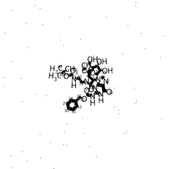 COC(=O)C1C([N+]2([C@@H]3O[C@H](CO)[C@@H](O)[C@H]3O)C=Nc3c2nc(NC(=O)OCc2ccccc2)[nH]c3=O)C(=O)N1CCNC(=O)OC(C)(C)C